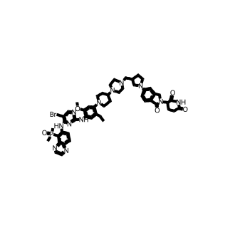 CCc1cc(Nc2ncc(Br)c(Nc3ccc4nccnc4c3P(C)(C)=O)n2)c(OC)cc1N1CCC(N2CCN(CC3CCN(c4ccc5c(c4)CN(C4CCC(=O)NC4=O)C5=O)C3)CC2)CC1